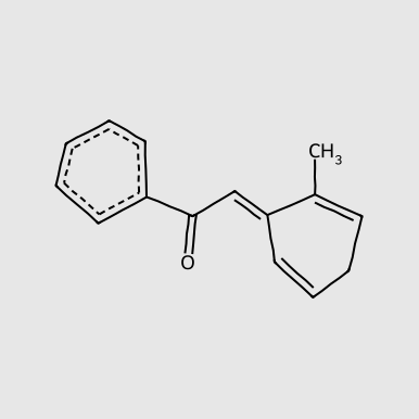 CC1=CCC=CC1=CC(=O)c1ccccc1